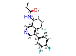 CCC(=O)NC1CCCc2c(-c3cc(F)c(F)cc3F)cncc21